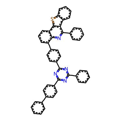 c1ccc(-c2ccc(-c3nc(-c4ccccc4)nc(-c4ccc(-c5cccc6c5nc(-c5ccccc5)c5c7ccccc7sc65)cc4)n3)cc2)cc1